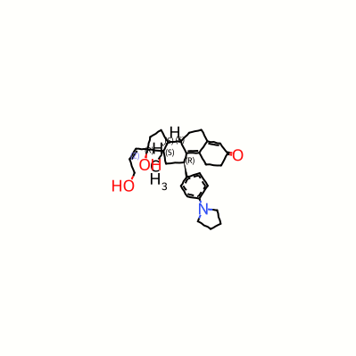 C[C@]12C[C@H](c3ccc(N4CCCC4)cc3)C3=C4CCC(=O)C=C4CC[C@H]3[C@@H]1CC[C@@]2(O)/C=C\CO